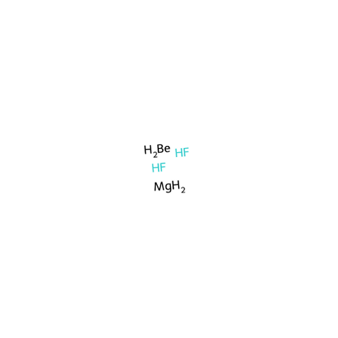 F.F.[BeH2].[MgH2]